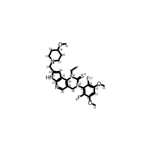 CCN1C(=S)N(c2c(F)c(OC)cc(OC)c2F)Cc2cnc3[nH]c(CN4CCC(OC)CC4)cc3c21